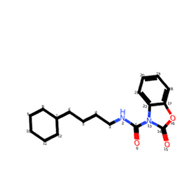 O=C(NCCCCC1CCCCC1)n1c(=O)oc2ccccc21